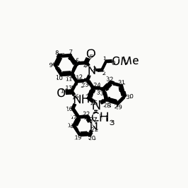 COCCN1C(=O)c2ccccc2C(C(=O)NCc2cccnc2)C1c1cn(C)c2ccccc12